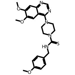 COc1ccc(CNC(=S)N2CCN(c3ncnc4cc(OC)c(OC)cc34)CC2)cc1